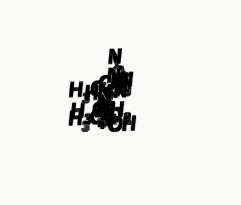 CC(C)Nc1cc(-n2ncc3cc(C#N)cnc32)ncc1-c1cn(C[C@]2(C(C)(C)C)CCCN2C(=O)O)nn1